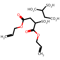 C=CCOC(=O)CC(C(=O)OCC=C)S(=O)(=O)O.O=C(O)CC(C(=O)O)S(=O)(=O)O